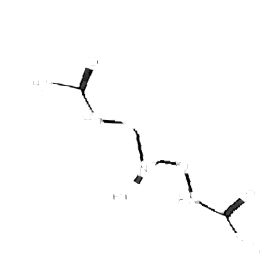 NC(=O)NO[N+](=O)ONC(N)=O.[KH]